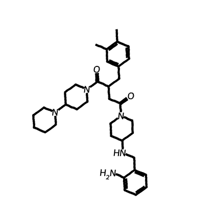 Cc1ccc(CC(CC(=O)N2CCC(NCc3ccccc3N)CC2)C(=O)N2CCC(N3CCCCC3)CC2)cc1C